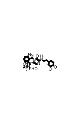 C=c1ccc2c(c1CNC=O)C(n1c(C)cnc(NCCC3=CC(=O)C(=O)C=C3)c1=O)=NN=2